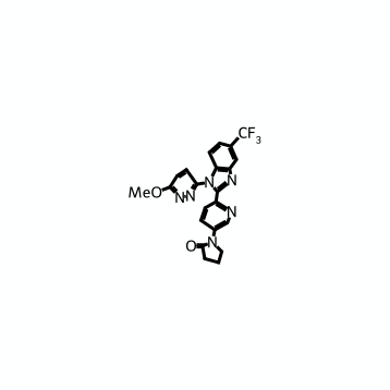 COc1ccc(-n2c(-c3ccc(N4CCCC4=O)cn3)nc3cc(C(F)(F)F)ccc32)nn1